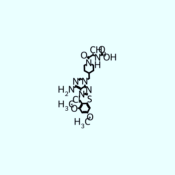 COc1cc(OC)c(Cl)c(Sc2nc3c(N)ncn(CC4CCN(C(=O)[C@@H](C)NC(=O)O)CC4)c-3n2)c1